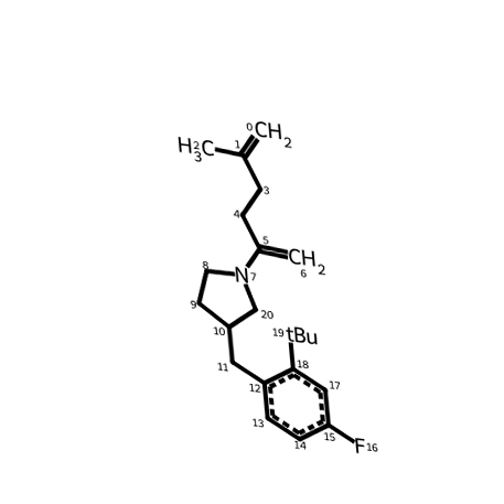 C=C(C)CCC(=C)N1CCC(Cc2ccc(F)cc2C(C)(C)C)C1